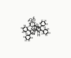 COC1(OC)C=CC(n2c(-c3nc(-c4ccccc4)c(-c4ccccc4)[nH]3)nc(-c3ccccc3)c2-c2ccccc2)C(OC)(OC)C1